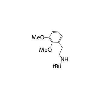 COc1cccc(CCNC(C)(C)C)c1OC